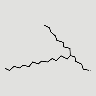 [CH2]CCCCC(CCCCCCCC)CCCCCCCCCCCCCC